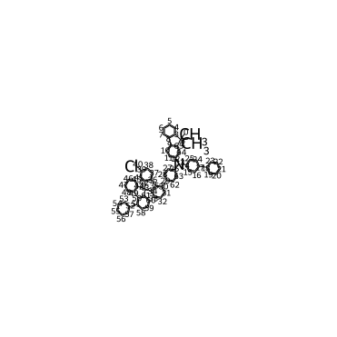 CC1(C)c2ccccc2-c2ccc(N(c3ccc(-c4ccccc4)cc3)c3ccc(-c4cccc5c4-c4ccc(Cl)cc4C54c5ccccc5-c5c(-c6ccccc6)cccc54)cc3)cc21